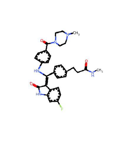 CNC(=O)CCc1ccc(/C(Nc2ccc(C(=O)N3CCN(C)CC3)cc2)=C2/C(=O)Nc3cc(F)ccc32)cc1